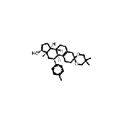 Cc1ccc([C@H]2C[C@]3(C)[C@@H](O)CC[C@H]3[C@@H]3CCC4=C(CCC5(C4)OCC(C)(C)CO5)[C@H]32)cc1